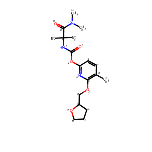 CCC(CC)(NC(=O)Oc1ccc(C(F)(F)F)c(OCC2CCCO2)n1)C(=O)N(C)C